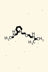 CCNCC1CCCCN1CCOCCNC(C)C